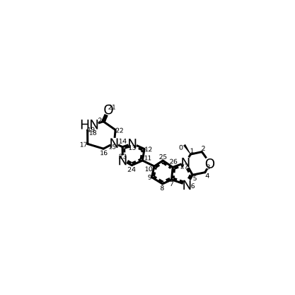 C[C@H]1COCc2nc3ccc(-c4cnc(N5CCCNC(=O)C5)nc4)cc3n21